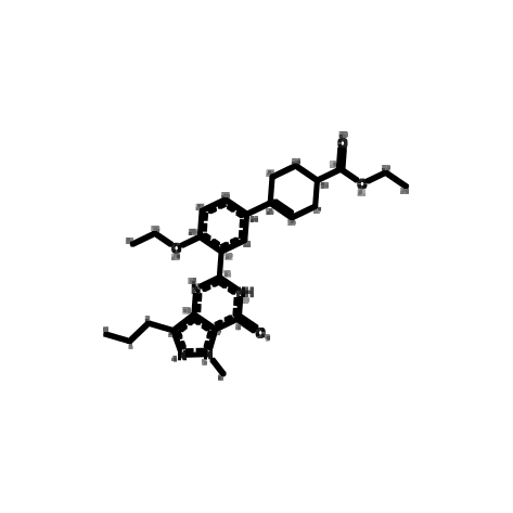 CCCc1nn(C)c2c(=O)[nH]c(-c3cc(C4=CCC(C(=O)OCC)CC4)ccc3OCC)nc12